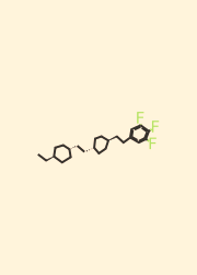 CC[C@H]1CC[C@H](CC[C@H]2CC[C@H](CCc3cc(F)c(F)c(F)c3)CC2)CC1